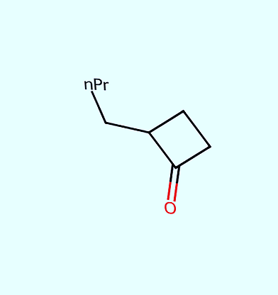 [CH2]CCCC1CCC1=O